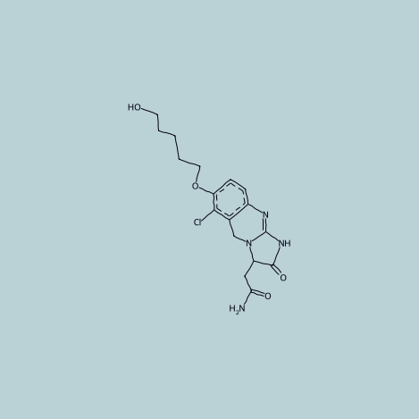 NC(=O)CC1C(=O)NC2=Nc3ccc(OCCCCCO)c(Cl)c3CN21